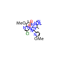 COc1cccc(-c2nnc(NS(=O)(=O)C(C)C(OC)c3ncc(Cl)cn3)n2C(C)c2ncnn2C)n1